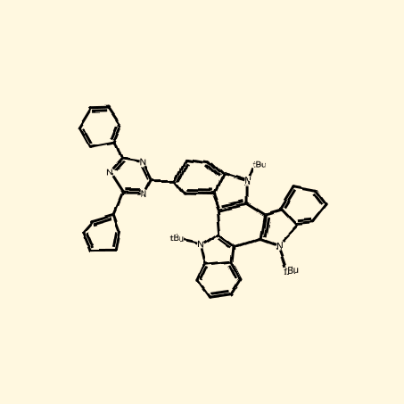 CC(C)(C)n1c2ccccc2c2c1c1c3ccccc3n(C(C)(C)C)c1c1c3cc(-c4nc(-c5ccccc5)nc(-c5ccccc5)n4)ccc3n(C(C)(C)C)c21